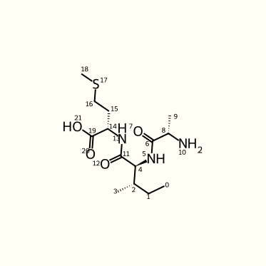 CC[C@H](C)[C@H](NC(=O)[C@H](C)N)C(=O)N[C@@H](CCSC)C(=O)O